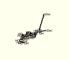 CCCCCCCCCCCCC/C=C/[C@@H](O)[C@H](CO[C@@H]1OC(CO)[C@@H](O[C@@H]2OC(CO)[C@H](O)[C@H](O[C@@H]3OC(CO)[C@@H](O)[C@H](O[C@@H]4OC(CO)[C@H](O)[C@H](O[C@]5(C(=O)O)CC(O)[C@@H](O)C([C@H](O)[C@H](O)CO)O5)C4O)C3NC(C)=O)C2O)[C@H](O)C1O)NC(=O)CCCCCCCCCCCCCCCCCCCCCCCCC